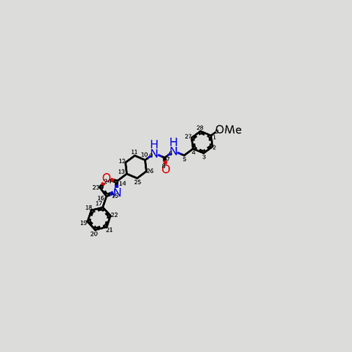 COc1ccc(CNC(=O)NC2CCC(c3nc(-c4ccccc4)co3)CC2)cc1